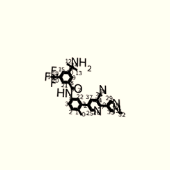 Cc1ccc(NC(=O)c2cc(C(C)(C)N)cc(C(F)(F)F)c2)cc1-c1cnc(-c2cnn(C)c2)c(C#N)c1